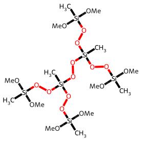 CO[Si](C)(OC)OO[Si](C)(OO[Si](C)(OC)OC)OO[Si](C)(OO[Si](C)(OC)OC)OO[Si](C)(OC)OC